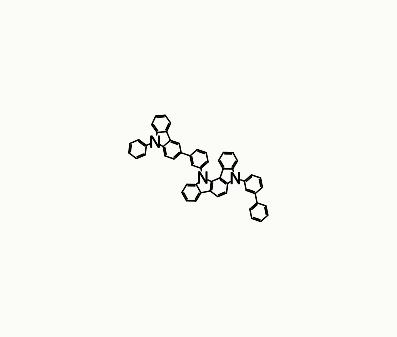 c1ccc(-c2cccc(-n3c4ccccc4c4c3ccc3c5ccccc5n(-c5cccc(-c6ccc7c(c6)c6ccccc6n7-c6ccccc6)c5)c34)c2)cc1